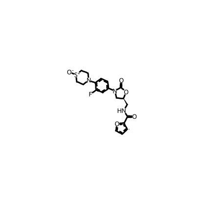 O=C(NC[C@H]1CN(c2ccc(N3CC[S+]([O-])CC3)c(F)c2)C(=O)O1)c1[c]cco1